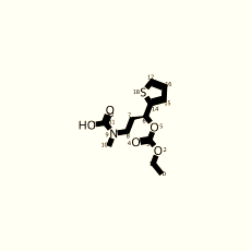 CCOC(=O)O[C@@H](CCN(C)C(=O)O)c1cccs1